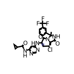 C=C1C(=O)NC(C)(c2cccc(C(F)(F)F)c2)N1C(=O)/C(=C\CCl)Nc1cc(NC(=O)C2CC2)ncn1